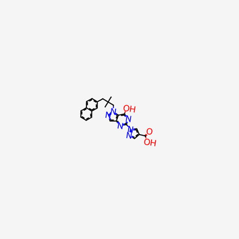 CC(C)(Cc1ccc2ccccc2c1)Cn1ncc2nc(-n3cc(C(=O)O)cn3)nc(O)c21